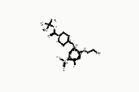 CC(C)(C)OC(=O)N1CCC(Nc2cc([N+](=O)[O-])c(F)cc2SCCO)CC1